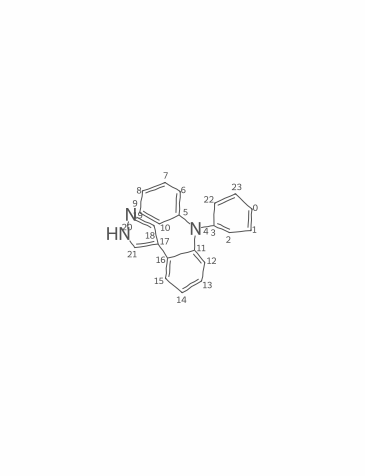 c1ccc(N(c2ccccc2)c2ccccc2-c2cn[nH]c2)cc1